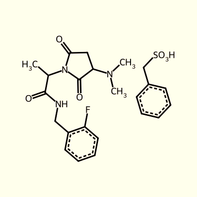 CC(C(=O)NCc1ccccc1F)N1C(=O)CC(N(C)C)C1=O.O=S(=O)(O)Cc1ccccc1